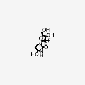 O=C1NC(O)CCN1[C@@H]1OC(CO)[C@@H](O)C1(F)F